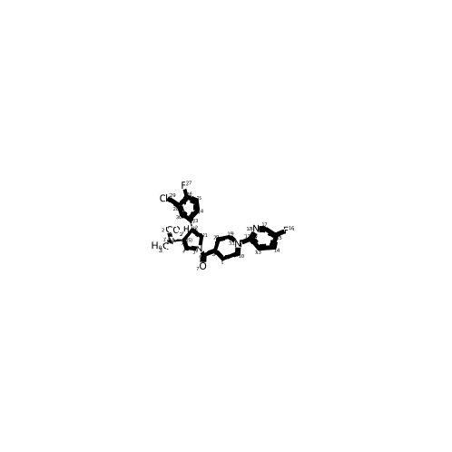 CN(C(=O)O)[C@@H]1CN(C(=O)C2CCN(c3ccc(F)cn3)CC2)C[C@H]1c1ccc(F)c(Cl)c1